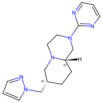 c1cnc(N2CCN3C[C@@H](Cn4cccn4)CC[C@H]3C2)nc1